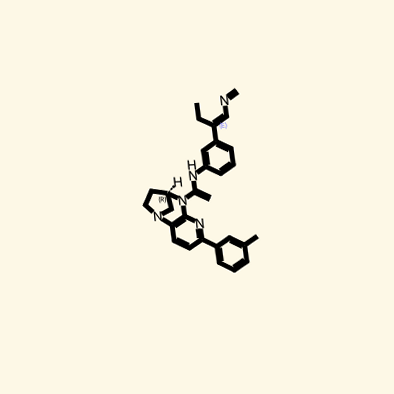 C=N/C=C(\CC)c1cccc(NC(=C)N2c3nc(-c4cccc(C)c4)ccc3N3CC[C@@H]2C3)c1